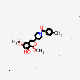 COC(=O)c1c(O)cc(OC)cc1C=CC1CCN(C(=O)c2ccc(C)cc2)CC1